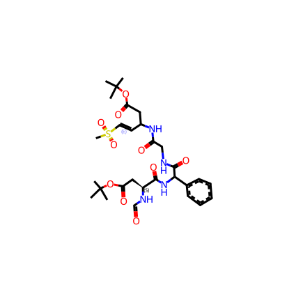 CC(C)(C)OC(=O)CC(/C=C/S(C)(=O)=O)NC(=O)CNC(=O)C(NC(=O)[C@H](CC(=O)OC(C)(C)C)NC=O)c1ccccc1